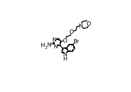 Nc1ncc(OCCOCCN2CCOCC2)c(-c2c[nH]c3ccc(Br)cc23)n1